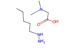 CCCCCNN.CN(C)CC(=O)O